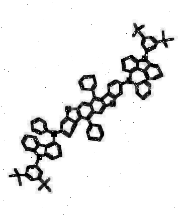 CC(C)(C)c1cc(-n2c3ccccc3c3c(N(c4ccccc4)c4ccc5c(c4)oc4cc6c(-c7ccccc7)c7c(cc6c(-c6ccccc6)c45)oc4cc(N(c5ccccc5)c5cccc6c5c5ccccc5n6-c5cc(C(C)(C)C)cc(C(C)(C)C)c5)ccc47)cccc32)cc(C(C)(C)C)c1